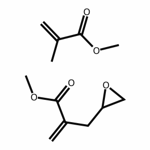 C=C(C)C(=O)OC.C=C(CC1CO1)C(=O)OC